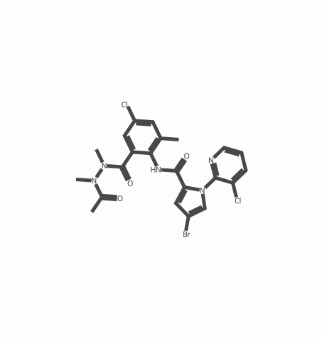 CC(=O)N(C)N(C)C(=O)c1cc(Cl)cc(C)c1NC(=O)c1cc(Br)cn1-c1ncccc1Cl